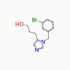 OCCCc1cncn1Cc1cccc(Br)c1